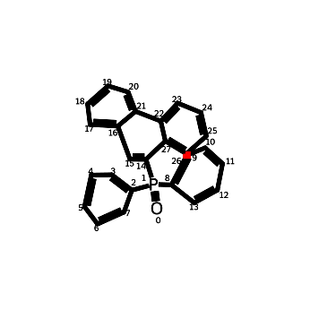 O=P(c1ccccc1)(c1ccccc1)c1cc2ccccc2c2ccccc12